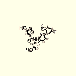 COc1ccc(F)cc1-c1ccc(C[C@H](CC(=O)O)NC(=O)c2cc(O)no2)cc1